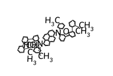 Cc1cccc(N(c2cccc(-c3cccc(-c4ccccc4C(C)C)c3)c2O)c2ccc3ccc4c(N(c5cccc(C)c5)c5cccc6c5oc5c(-c7ccccc7C(C)C)cccc56)ccc5ccc2c3c54)c1